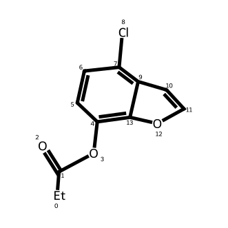 CCC(=O)Oc1ccc(Cl)c2ccoc12